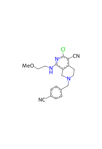 COCCNc1nc(Cl)c(C#N)c2c1CN(Cc1ccc(C#N)cc1)CC2